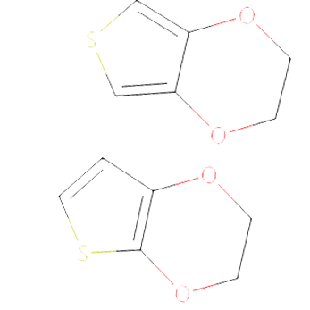 c1cc2c(s1)OCCO2.c1scc2c1OCCO2